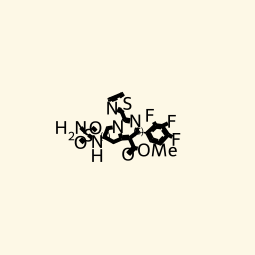 COC(=O)C1=C2C[C@H](NS(N)(=O)=O)CN2C(c2nccs2)=N[C@@H]1c1ccc(F)c(F)c1F